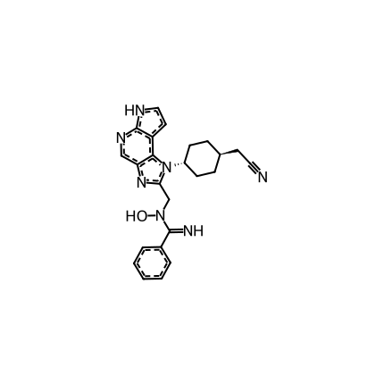 N#CC[C@H]1CC[C@H](n2c(CN(O)C(=N)c3ccccc3)nc3cnc4[nH]ccc4c32)CC1